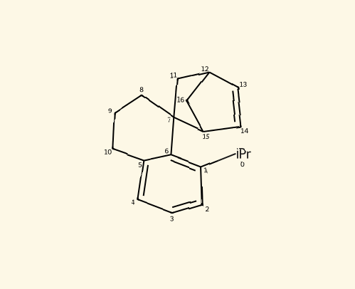 CC(C)c1cccc2c1C1(CCC2)CC2C=CC1C2